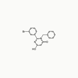 O=c1cc(O)nc(-c2cccc(Br)c2)n1Cc1ccccc1